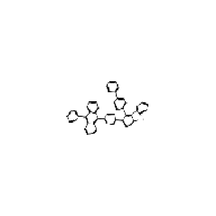 c1ccc(-c2ccc(-c3c(-c4ccc(-c5c6ccccc6c(-c6ccccc6)c6ccccc56)cc4)ccc4oc5ccccc5c34)cc2)cc1